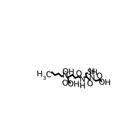 CCCCCN(O)C(CCC(=O)NC(CS)C(=O)NCC(=O)O)C(=O)O